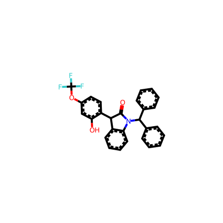 O=C1C(c2ccc(OC(F)(F)F)cc2O)c2ccccc2N1C(c1ccccc1)c1ccccc1